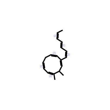 C\C=C/C=C/C=C\C1=CC(C)/C(C)=C\C=C/C/C=C\1